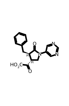 O=C(O)C(=O)[C@H]1CN(c2cncnc2)C(=O)[C@@H]1Cc1ccccc1